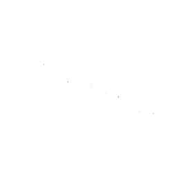 CC(=O)NC(C)Cc1ccc(C#Cc2ccc(OCc3cncs3)cc2)cc1